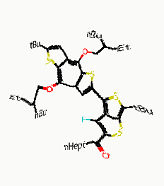 CCCCCCCC(=O)c1sc2c(C(C)(C)C)sc(-c3cc4c(OCC(CC)CCCC)c5sc(C(C)(C)C)cc5c(OCC(CC)CCCC)c4s3)c2c1F